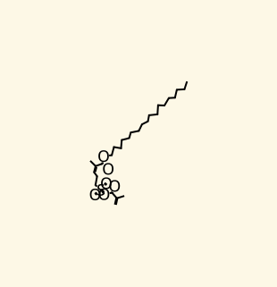 C=C(C)C(=O)OS(=O)(=O)CCC=C(C)C(=O)OCCCCCCCCCCCCCCCCCC